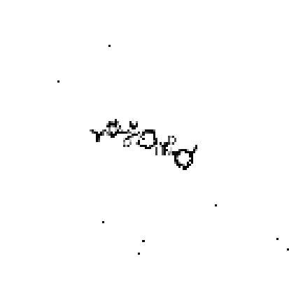 Cc1cccc(NC(=O)C2CCN(S(=O)(=O)c3cn(C(C)C)cn3)CC2)c1